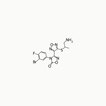 CC(CN)Sc1nonc1-c1noc(=O)n1-c1ccc(F)c(Br)c1